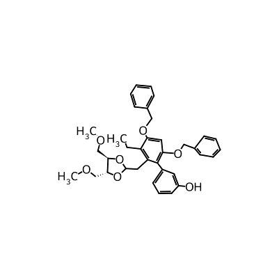 CCc1c(OCc2ccccc2)cc(OCc2ccccc2)c(-c2cccc(O)c2)c1CC1O[C@H](COC)[C@@H](COC)O1